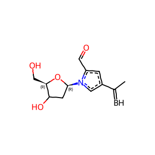 B=C(C)c1cc(C=O)n([C@H]2CC(O)[C@@H](CO)O2)c1